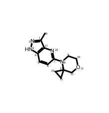 Cc1n[nH]c2ccc(N3CCOCC34CC4)nc12